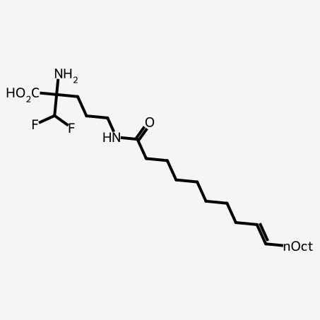 CCCCCCCCC=CCCCCCCCC(=O)NCCCC(N)(C(=O)O)C(F)F